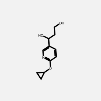 OCCC(O)c1ccc(OC2CC2)nc1